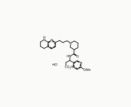 COc1ccc(C(CC(=O)O)NC(=O)C2CCCN(CCCc3ccc4c(n3)NCCC4)C2)cn1.Cl